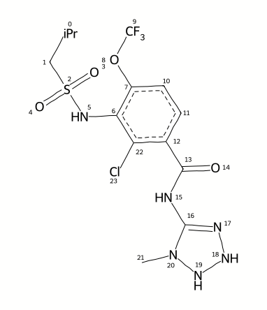 CC(C)CS(=O)(=O)Nc1c(OC(F)(F)F)ccc(C(=O)NC2=NNNN2C)c1Cl